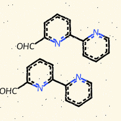 O=Cc1cccc(-c2ccccn2)n1.O=Cc1cccc(-c2ccccn2)n1